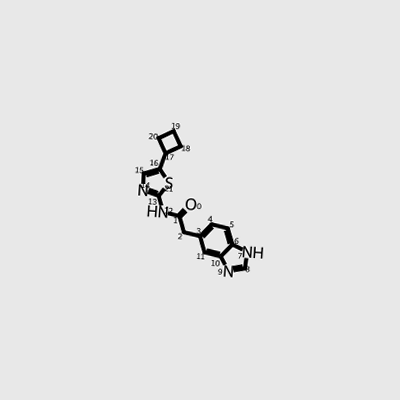 O=C(Cc1ccc2[nH]cnc2c1)Nc1ncc(C2CCC2)s1